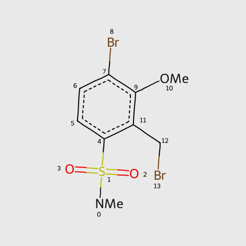 CNS(=O)(=O)c1ccc(Br)c(OC)c1CBr